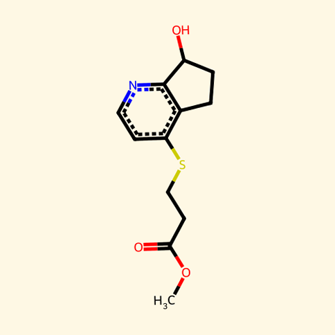 COC(=O)CCSc1ccnc2c1CCC2O